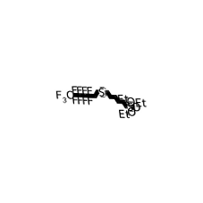 CCO[Si](CCCCCC[Si](C)(C)CCC(F)(F)C(F)(F)C(F)(F)C(F)(F)C(F)(F)F)(OCC)OCC